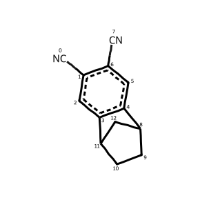 N#Cc1cc2c(cc1C#N)C1CCC2C1